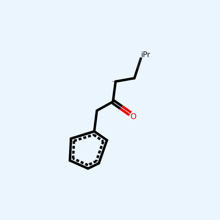 CC(C)C[CH]C(=O)Cc1ccccc1